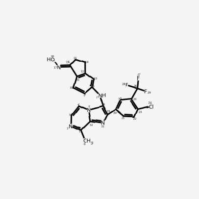 Cc1nccn2c(Nc3ccc4c(c3)CCC4=NO)c(-c3ccc(Cl)c(C(F)(F)F)c3)nc12